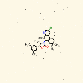 COc1ncc(Br)cc1C1=C(CN2C(=O)O[C@H](c3cc(C)cc(C(F)(F)F)c3)[C@@H]2C)CC(C)(C)CC1